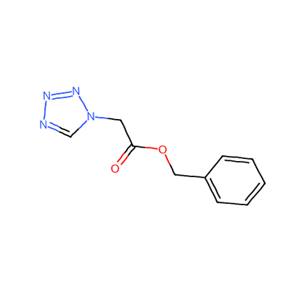 O=C(Cn1cnnn1)OCc1ccccc1